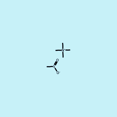 CS(=O)[O-].C[N+](C)(C)C